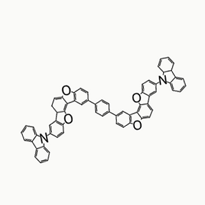 C1=CC2c3ccccc3N(c3ccc4oc5c(ccc6oc7ccc(-c8ccc(-c9ccc%10oc%11c(c%10c9)=C9Oc%10ccc(-n%12c%13ccccc%13c%13ccccc%13%12)cc%10C9CC=%11)cc8)cc7c65)c4c3)C2C=C1